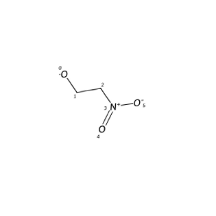 [O]CC[N+](=O)[O-]